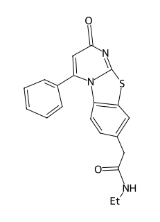 CCNC(=O)Cc1ccc2c(c1)sc1nc(=O)cc(-c3ccccc3)n12